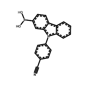 N#Cc1ccc(-n2c3ccccc3c3ccc(B(O)O)cc32)cc1